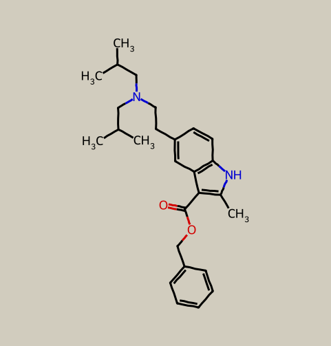 Cc1[nH]c2ccc(CCN(CC(C)C)CC(C)C)cc2c1C(=O)OCc1ccccc1